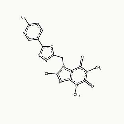 Cn1c(=O)c2c(nc(Cl)n2Cc2nnc(-c3ccc(Cl)nc3)o2)n(C)c1=O